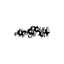 Cc1cnc(-c2ccnc(C3(C(F)F)CC3)n2)cc1-n1c(C)cc(OCc2ncc(F)cc2F)c(Cl)c1=O